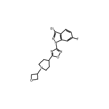 CCc1nn(-c2noc(C3CCN(C4COC4)CC3)n2)c2cc(F)ccc12